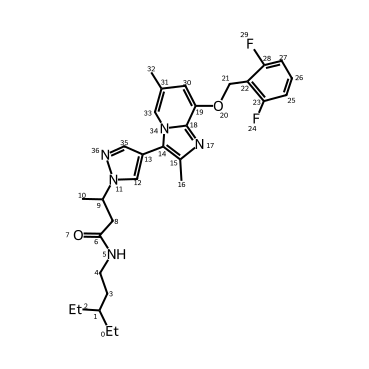 CCC(CC)CCNC(=O)CC(C)n1cc(-c2c(C)nc3c(OCc4c(F)cccc4F)cc(C)cn23)cn1